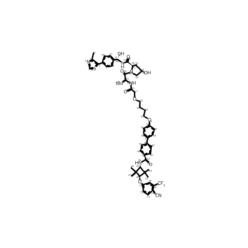 Cc1ncsc1-c1ccc([C@H](O)NC(=O)[C@H]2C[C@@H](O)CN2C(=O)C(NC(=O)COCCCCOc2ccc(-c3ccc(C(=O)N[C@H]4C(C)(C)[C@H](Oc5ccc(C#N)c(C(F)(F)F)c5)C4(C)C)cc3)cc2)C(C)(C)C)cc1